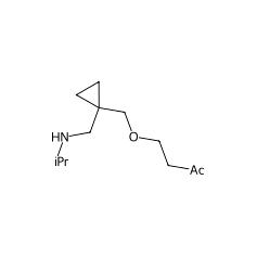 CC(=O)CCOCC1(CNC(C)C)CC1